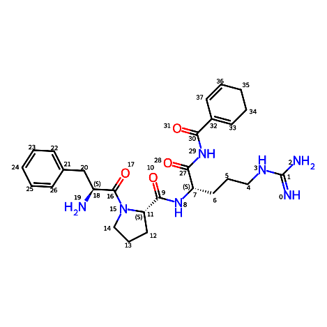 N=C(N)NCCC[C@H](NC(=O)[C@@H]1CCCN1C(=O)[C@@H](N)Cc1ccccc1)C(=O)NC(=O)C1=CCCC=C1